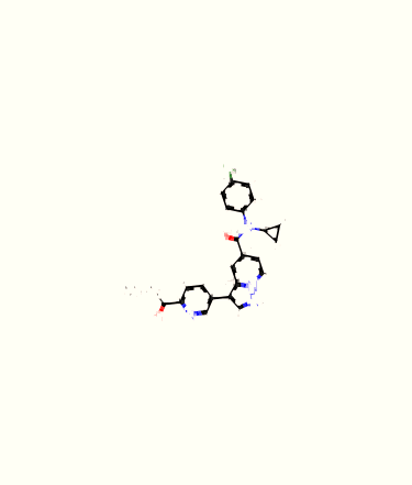 CNC(=O)c1ccc(-c2cnn3ccc(C(=O)N(c4ccc(Cl)cc4)C4CC4)cc23)cn1